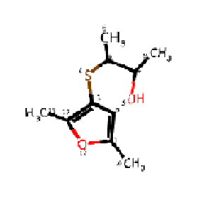 Cc1cc(SC(C)C(C)O)c(C)o1